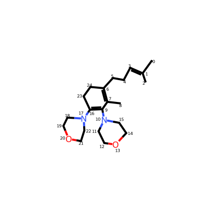 CC(C)=CCCC1=C(C)C(N2CCOCC2)=C(N2CCOCC2)CC1